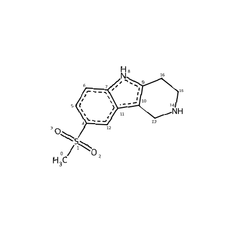 CS(=O)(=O)c1ccc2[nH]c3c(c2c1)CNCC3